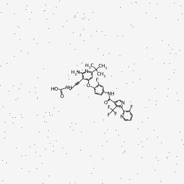 CC(C)(C)c1cc(Oc2ccc(NC(=O)c3cnn(-c4ncccc4F)c3C(F)(F)F)cc2F)c(C#CCNC(=O)O)c(N)n1